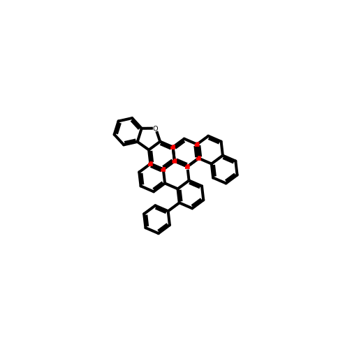 c1ccc(-c2ccccc2-c2c(-c3ccccc3)cccc2N(c2ccc3c(c2)oc2ccccc23)c2cccc3ccccc23)cc1